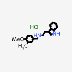 COc1ccc(CNCCc2c[nH]c3ccccc23)cc1C.Cl